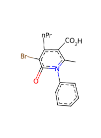 CCCc1c(C(=O)O)c(C)n(-c2ccccc2)c(=O)c1Br